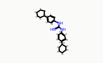 N=C(Nc1ccc(C2CCCCC2)cc1)Nc1ccc(C2CCCCC2)cc1